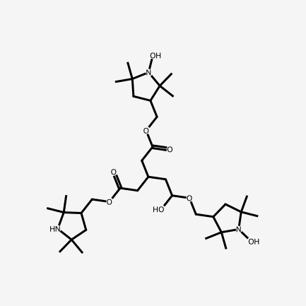 CC1(C)CC(COC(=O)CC(CC(=O)OCC2CC(C)(C)N(O)C2(C)C)CC(O)OCC2CC(C)(C)N(O)C2(C)C)C(C)(C)N1